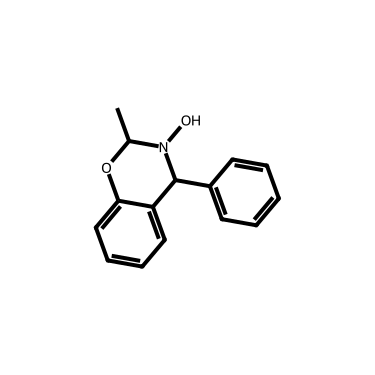 CC1Oc2ccccc2C(c2ccccc2)N1O